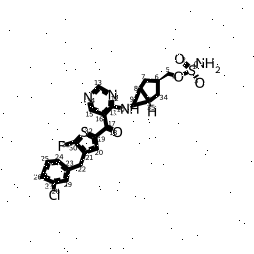 NS(=O)(=O)OC[C@@H]1CC2C(Nc3ncncc3C(=O)c3cc(Cc4cccc(Cl)c4)c(F)s3)[C@@H]2C1